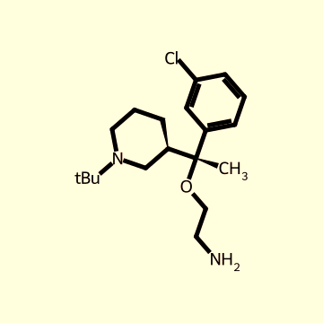 CC(C)(C)N1CCC[C@@H]([C@@](C)(OCCN)c2cccc(Cl)c2)C1